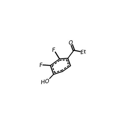 CCC(=O)c1ccc(O)c(F)c1F